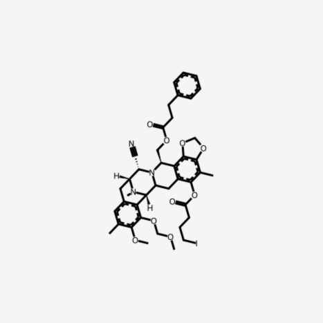 COCOc1c(OC)c(C)cc2c1[C@H]1C3Cc4c(OC(=O)CCCI)c(C)c5c(c4[C@H](COC(=O)CCc4ccccc4)N3[C@@H](C#N)[C@@H](C2)N1C)OCO5